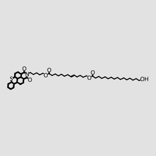 O=C(CCCCCCCCCCCCCCCO)OCCCC/C=C/CCCCCCC(=O)OCCCCCn1c(=O)c2ccc3sc4ccccc4c4ccc(c1=O)c2c34